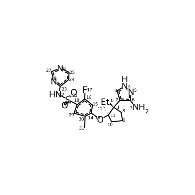 CC[C@@]1(c2c[nH]nc2N)CCC[C@@]1(C)Oc1cc(F)c(S(=O)(=O)Nc2ccncn2)cc1C